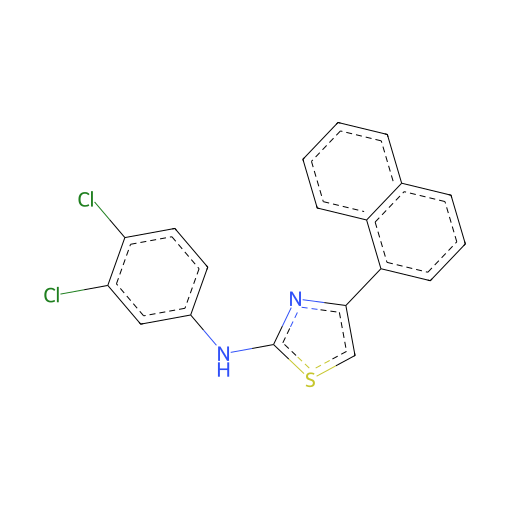 Clc1ccc(Nc2nc(-c3cccc4ccccc34)cs2)cc1Cl